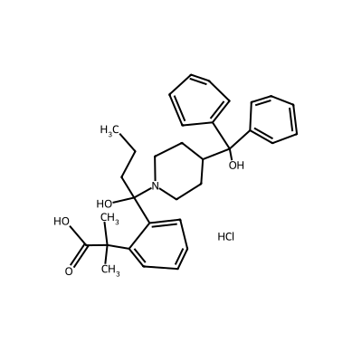 CCCC(O)(c1ccccc1C(C)(C)C(=O)O)N1CCC(C(O)(c2ccccc2)c2ccccc2)CC1.Cl